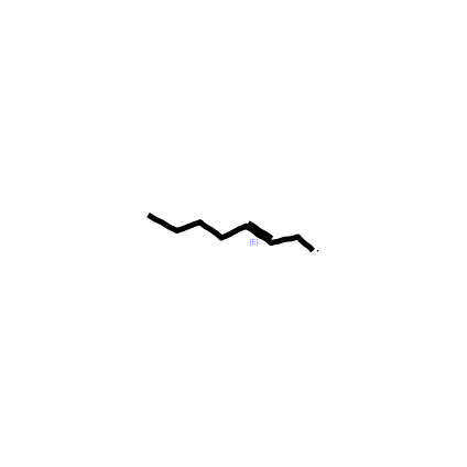 [CH2]C/C=C/CCCC